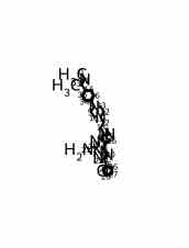 C/N=C(\C)c1ccc(N2CCN(CCn3ncc4c3nc(N)n3nc(-c5ccco5)nc43)CC2)cc1